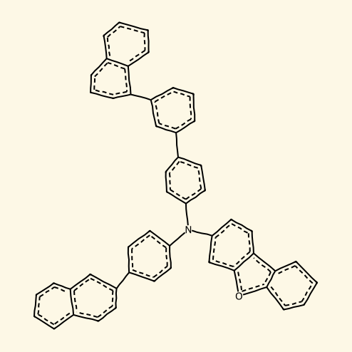 c1cc(-c2ccc(N(c3ccc(-c4ccc5ccccc5c4)cc3)c3ccc4c(c3)oc3ccccc34)cc2)cc(-c2cccc3ccccc23)c1